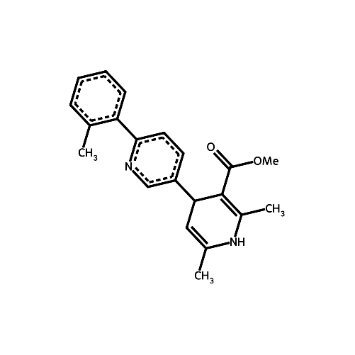 COC(=O)C1=C(C)NC(C)=CC1c1ccc(-c2ccccc2C)nc1